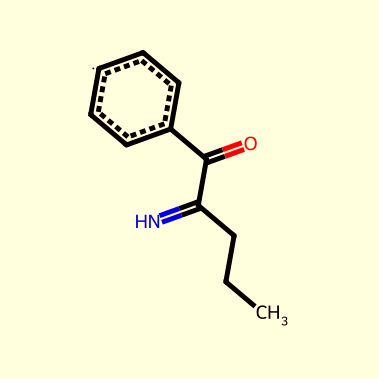 CCCC(=N)C(=O)c1cc[c]cc1